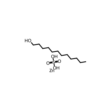 CCCCCCCCCCCCO.O=S(=O)(O)O.[Zn]